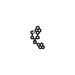 c1cncc(-c2cccc(N(c3cccc(-c4cc5ccc6cccc7ccc(c4)c5c67)c3)c3cccc(-c4cc5ccc6cccc7ccc(c4)c5c67)c3)c2)c1